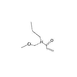 C=CC(=O)N(CCC)COC